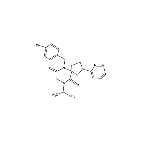 CC(C)N1CC(=O)N(Cc2ccc(Cl)cc2)C2(CCN(c3cccnn3)C2)C1=O